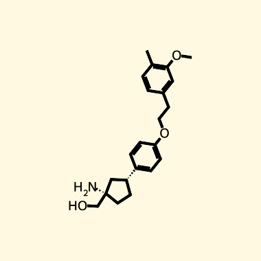 COc1cc(CCOc2ccc([C@@H]3CC[C@@](N)(CO)C3)cc2)ccc1C